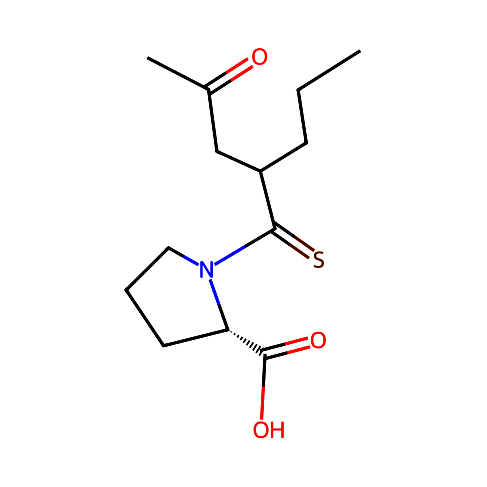 CCCC(CC(C)=O)C(=S)N1CCC[C@H]1C(=O)O